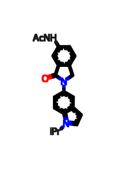 CC(=O)Nc1ccc2c(c1)C(=O)N(c1ccc3c(ccn3C(C)C)c1)C2